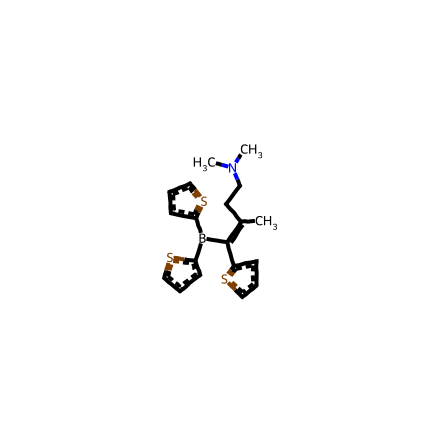 C/C(CCN(C)C)=C(/B(c1cccs1)c1cccs1)c1cccs1